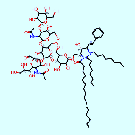 CCCCCCCCCCCCCCCC(=O)N[C@@H](CO[C@@H]1OC(CO)[C@@H](O[C@@H]2OC(CO)[C@H](OC3OC(CO)[C@H](O)C(O[C@@H]4OC(CO)[C@H](O)C(O)C4O)C3NC(C)=O)C(O[C@]3(C=O)CC(O)C(NC(C)=O)C([C@H](O)[C@H](O)CO)O3)C2O)C(O)C1O)[C@H](O)C(/C=C/c1ccccc1)N(CCCCCCCC)CCCCCCCC